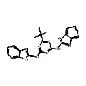 CC(C)(C)c1nc(Nc2nc3ccccc3[nH]2)nc(Nc2nc3ccccc3[nH]2)n1